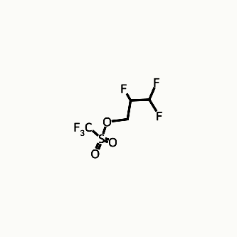 O=S(=O)(OCC(F)C(F)F)C(F)(F)F